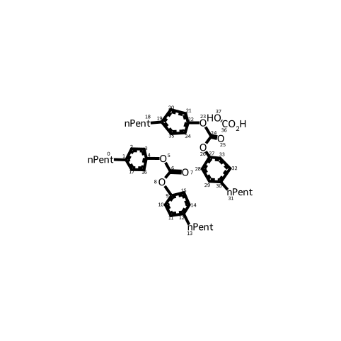 CCCCCc1ccc(OC(=O)Oc2ccc(CCCCC)cc2)cc1.CCCCCc1ccc(OC(=O)Oc2ccc(CCCCC)cc2)cc1.O=C(O)O